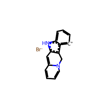 [Br-].[C+]1=c2c3c([nH]c2=CC=C1)C=C1C=CC=CN1C3